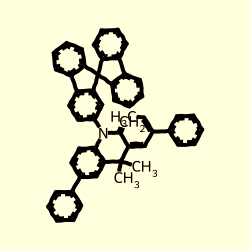 C=C1/C(=C\C(=C/C)c2ccccc2)C(C)(C)c2cc(-c3ccccc3)ccc2N1c1ccc2c(c1)C1(c3ccccc3-c3ccccc31)c1ccccc1-2